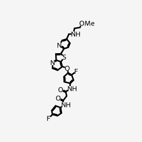 COCCNCc1ccc(-c2cc3nccc(Oc4ccc(NC(=O)CC(=O)Nc5ccc(F)cc5)cc4F)c3s2)nc1